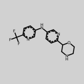 FC(F)(F)c1ccc(Nc2ccc(C3CNCCO3)nc2)cn1